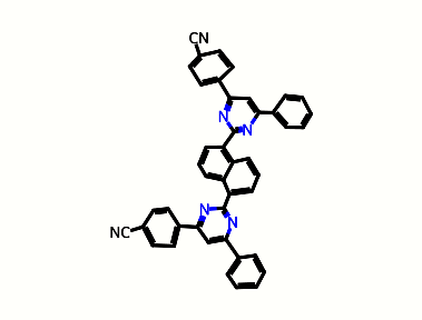 N#Cc1ccc(-c2cc(-c3ccccc3)nc(-c3cccc4c(-c5nc(-c6ccccc6)cc(-c6ccc(C#N)cc6)n5)cccc34)n2)cc1